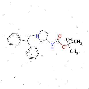 CC(C)(C)OC(=O)N[C@H]1CCN(CC(c2ccccc2)c2ccccc2)C1